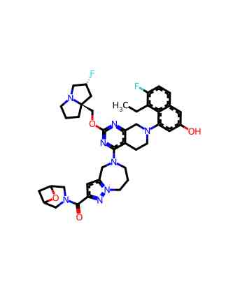 CCc1c(F)ccc2cc(O)cc(N3CCc4c(nc(OC[C@@]56CCCN5C[C@H](F)C6)nc4N4CCCn5nc(C(=O)N6CC7CC(C6)O7)cc5C4)C3)c12